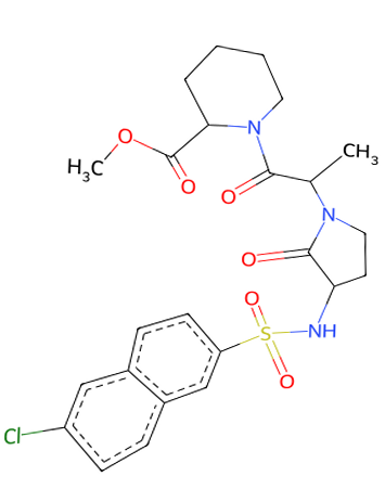 COC(=O)C1CCCCN1C(=O)C(C)N1CCC(NS(=O)(=O)c2ccc3cc(Cl)ccc3c2)C1=O